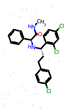 CNC(=O)[C@@H](N[C@@H](CCc1ccc(Cl)cc1)c1ccc(Cl)cc1Cl)c1ccccc1